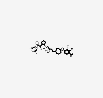 C=C(C)c1ccc(OC2CCCC(CCC(=O)CNC3=C(C(=N)C(=O)N4C[C@@H](C)O[C@@H](C)C4)CCC3)CC2)c(F)c1F